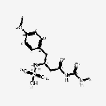 CNC(=O)NC(=O)CC(Cc1ccc(OC)cc1)NS(=O)(=O)O